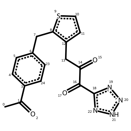 CC(=O)c1ccc(Cc2sccc2CC(=O)C(=O)c2nn[nH]n2)cc1